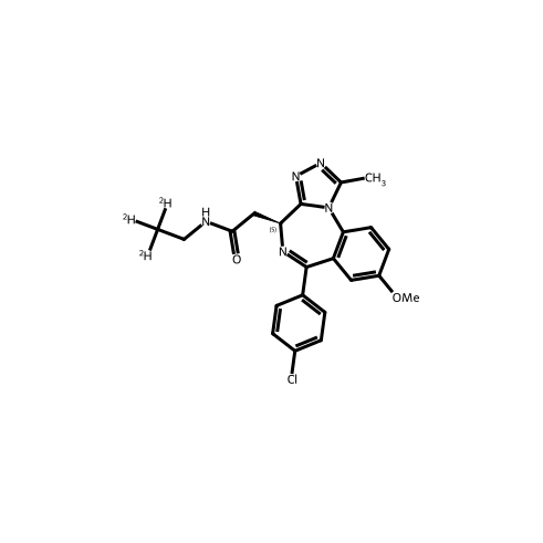 [2H]C([2H])([2H])CNC(=O)C[C@@H]1N=C(c2ccc(Cl)cc2)c2cc(OC)ccc2-n2c(C)nnc21